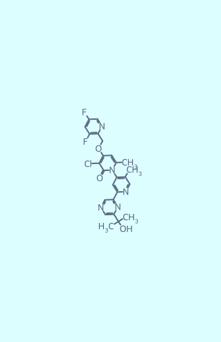 Cc1cnc(-c2cncc(C(C)(C)O)n2)cc1-n1c(C)cc(OCc2ncc(F)cc2F)c(Cl)c1=O